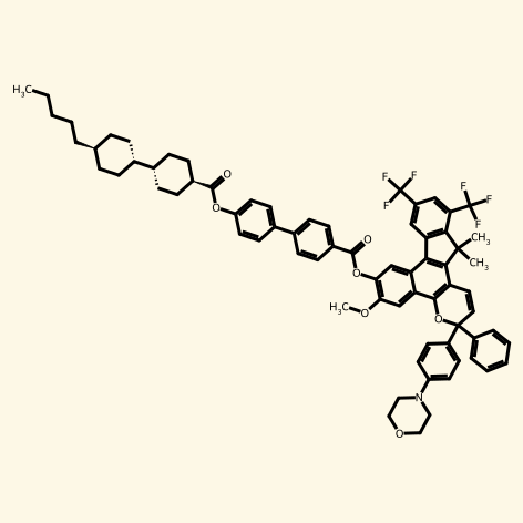 CCCCC[C@H]1CC[C@H]([C@H]2CC[C@H](C(=O)Oc3ccc(-c4ccc(C(=O)Oc5cc6c7c(c8c(c6cc5OC)OC(c5ccccc5)(c5ccc(N6CCOCC6)cc5)C=C8)C(C)(C)c5c-7cc(C(F)(F)F)cc5C(F)(F)F)cc4)cc3)CC2)CC1